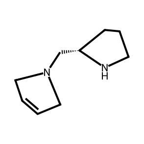 C1=CCN(C[C@@H]2CCCN2)C1